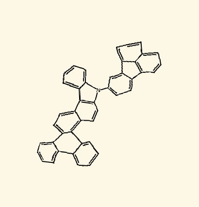 c1cc2c3c(cccc3c1)-c1cc(-n3c4ccccc4c4c5ccc6c7ccccc7c7ccccc7c6c5ccc43)ccc1-2